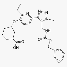 CCc1nc(-c2nnn(C)c2CNC(=O)OCc2ccccc2)ccc1O[C@H]1CCCC(C(=O)O)C1